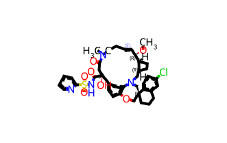 CO[C@H]1/C=C/CCN(C)C(=O)C[C@](O)(C(=O)NS(=O)(=O)c2ccccn2)c2ccc3c(c2)N(C[C@@H]2CC[C@H]21)C[C@@]1(CCCc2cc(Cl)ccc21)CO3